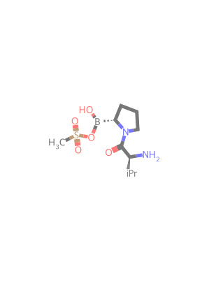 CC(C)[C@H](N)C(=O)N1CCC[C@H]1B(O)OS(C)(=O)=O